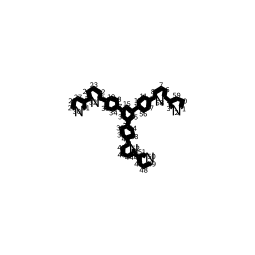 c1cncc(-c2cccc(-c3ccc(-c4cc(-c5ccc(-c6cccc(-c7cccnc7)n6)cc5)cc(-c5ccc(-c6cccc(-c7cccnc7)n6)cc5)c4)cc3)n2)c1